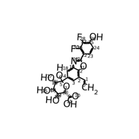 C=Cc1cc(C2(O)O[C@H](C(=O)O)[C@@H](O)[C@H](O)[C@H]2O)cc2nc(-c3ccc(O)c(F)c3F)oc12